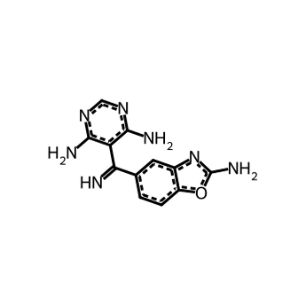 N=C(c1ccc2oc(N)nc2c1)c1c(N)ncnc1N